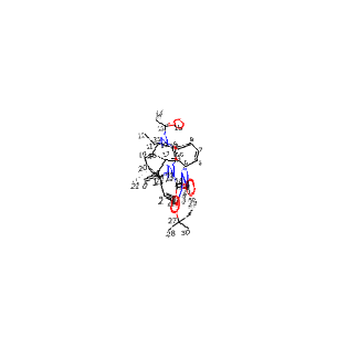 C=C1C=CN=c2cccc(N(CC)C(C)=O)c2=C1/C1=C\[C@@H](C)CN(C(=O)OC(C)(C)C)CCC1